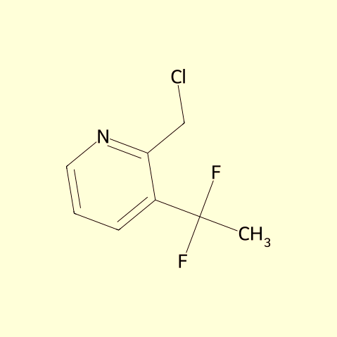 CC(F)(F)c1cccnc1CCl